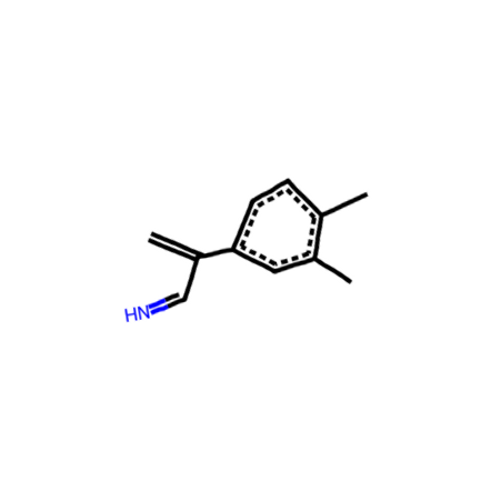 C=C(C=N)c1ccc(C)c(C)c1